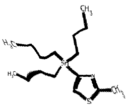 CCC[CH2][Sn]([CH2]CCC)([CH2]CCC)[c]1csc(C)n1